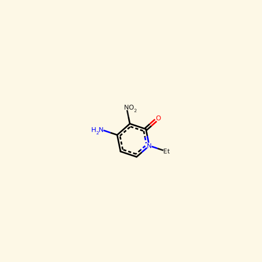 CCn1ccc(N)c([N+](=O)[O-])c1=O